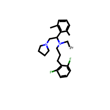 Cc1cccc(C)c1C(CN1CCCC1)N(CCCc1c(F)cccc1F)CC(C)C